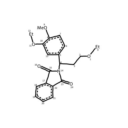 CCOCCC(c1ccc(OC)c(OCC)c1)N1C(=O)c2ccccc2C1=O